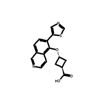 O=C(O)[C@H]1C[C@H](Oc2c(-c3cncs3)ccc3cnccc23)C1